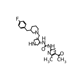 CC(=O)c1sc(NC(=O)N[C@@H]2CNC[C@H]2CN2CCCC(Cc3ccc(F)cc3)C2)nc1C